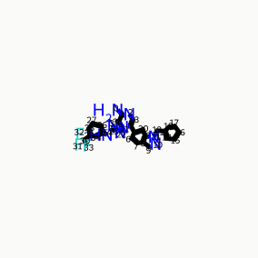 Nc1ncc(-c2ccc3cnn(Cc4ccccc4)c3c2)n2nc(Nc3cccc(C(F)(F)F)c3)nc12